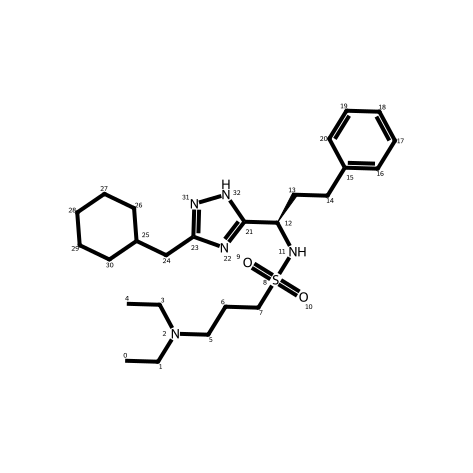 CCN(CC)CCCS(=O)(=O)N[C@H](CCc1ccccc1)c1nc(CC2CCCCC2)n[nH]1